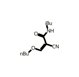 CCCCOC=C(C#N)C(=O)NC(C)CC